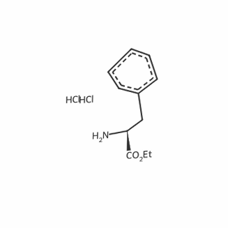 CCOC(=O)[C@@H](N)Cc1ccccc1.Cl.Cl